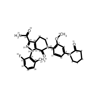 COc1cc(N2CCCCC2=O)ccc1N1CCc2c(C(N)=O)nn(-c3c(C)cccc3F)c2C1=O